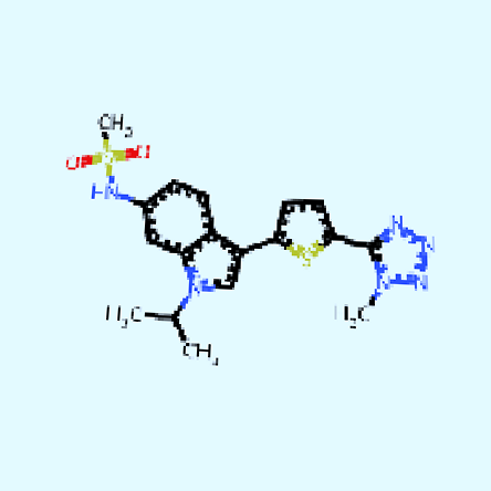 CC(C)n1cc(-c2ccc(-c3nnnn3C)s2)c2ccc(NS(C)(=O)=O)cc21